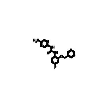 Cc1cnc(NC(=O)Nc2ccc(F)cc2OCc2cccnc2)cn1